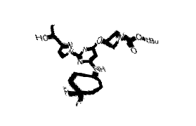 CC(O)c1ccn(-c2nc(NC3CCC(F)(F)CC3)cc(OC3CN(C(=O)OC(C)(C)C)C3)n2)n1